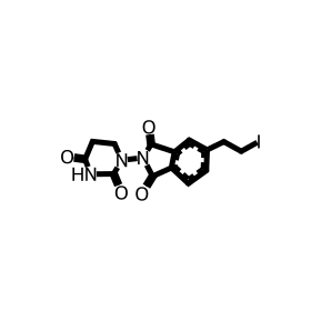 O=C1CCN(N2C(=O)c3ccc(CCI)cc3C2=O)C(=O)N1